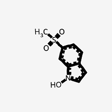 CS(=O)(=O)c1ccc2ccn(O)c2c1